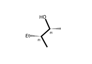 CC[C@@H](C)[C@@H](C)O